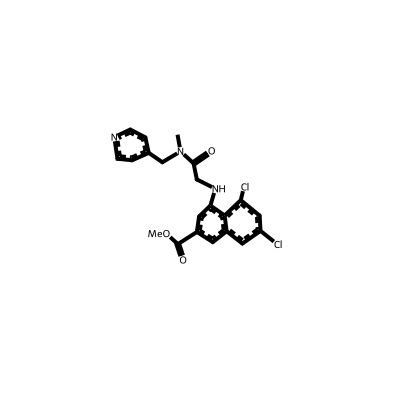 COC(=O)c1cc(NCC(=O)N(C)Cc2ccncc2)c2c(Cl)cc(Cl)cc2c1